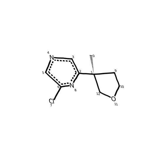 C[C@]1(c2cncc(Cl)n2)CCOC1